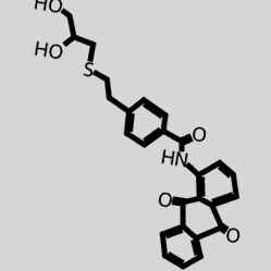 O=C(Nc1cccc2c1C(=O)c1ccccc1C2=O)c1ccc(CCSCC(O)CO)cc1